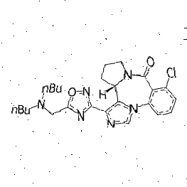 CCCCN(CCCC)Cc1nc(-c2ncn3c2[C@@H]2CCCN2C(=O)c2c(Cl)cccc2-3)no1